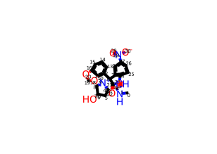 CNC(=O)[C@@H]1C[C@@H](O)C[N+]1(C)C1(c2cccc3c2OCO3)C(=O)Nc2ccc([N+](=O)[O-])cc21